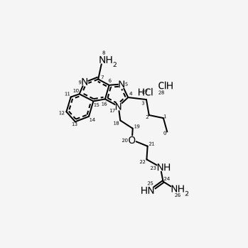 CCCCc1nc2c(N)nc3ccccc3c2n1CCOCCNC(=N)N.Cl.Cl